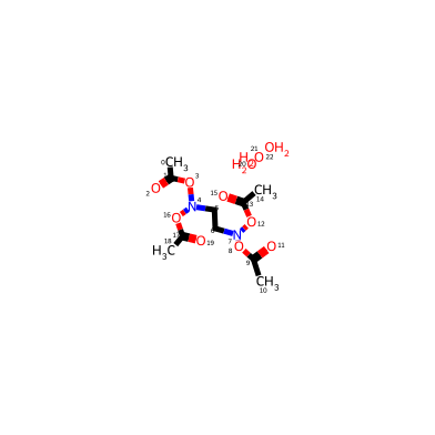 CC(=O)ON(CCN(OC(C)=O)OC(C)=O)OC(C)=O.O.O.O